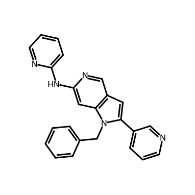 c1ccc(Cn2c(-c3cccnc3)cc3cnc(Nc4ccccn4)cc32)cc1